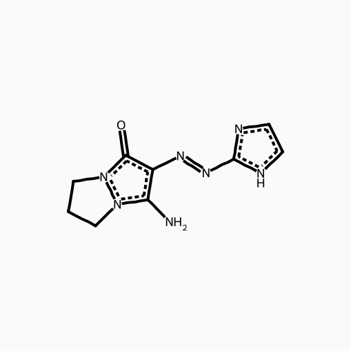 Nc1c(N=Nc2ncc[nH]2)c(=O)n2n1CCC2